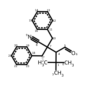 CC(C)(C)C(C=O)C(C#N)(Cc1ccccc1)Cc1ccccc1